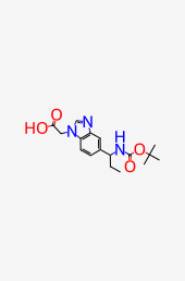 CCC(NC(=O)OC(C)(C)C)c1ccc2c(c1)ncn2CC(=O)O